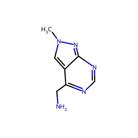 Cn1cc2c(CN)ncnc2n1